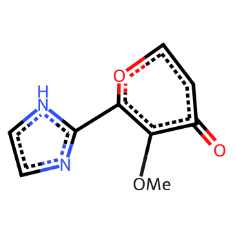 COc1c(-c2ncc[nH]2)occc1=O